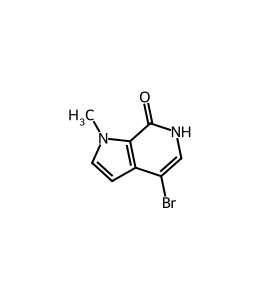 Cn1ccc2c(Br)c[nH]c(=O)c21